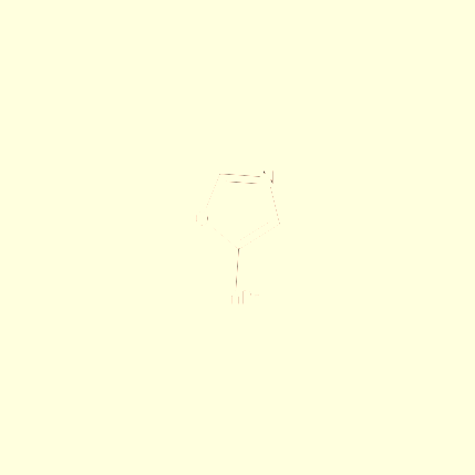 CCCc1cn[c]o1